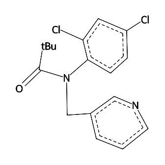 CC(C)(C)C(=O)N(Cc1cccnc1)c1ccc(Cl)cc1Cl